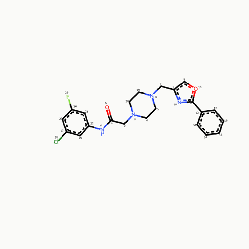 O=C(CN1CCN(Cc2coc(-c3ccccc3)n2)CC1)Nc1cc(F)cc(Cl)c1